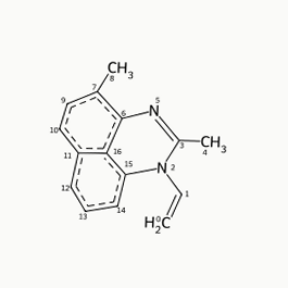 C=CN1C(C)=Nc2c(C)ccc3cccc1c23